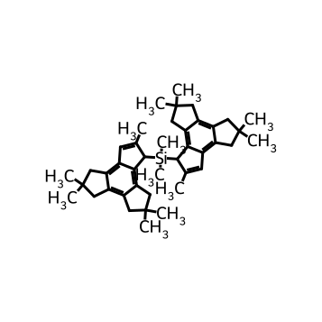 CC1=Cc2c3c(c4c(c2C1[Si](C)(C)C1C(C)=Cc2c5c(c6c(c21)CC(C)(C)C6)CC(C)(C)C5)CC(C)(C)C4)CC(C)(C)C3